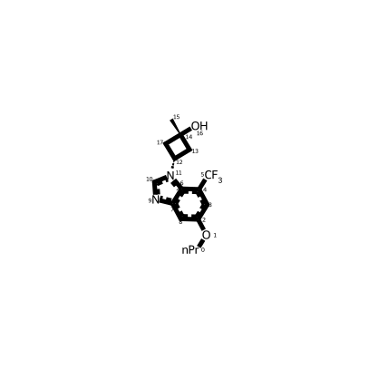 CCCOc1cc(C(F)(F)F)c2c(c1)ncn2[C@H]1C[C@@](C)(O)C1